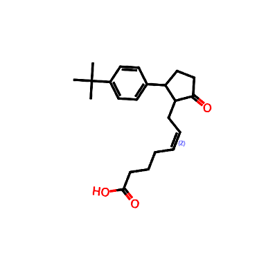 CC(C)(C)c1ccc(C2CCC(=O)C2C/C=C\CCCC(=O)O)cc1